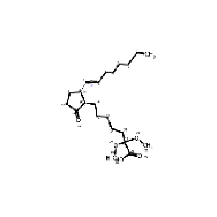 CCCCCC/C=C/[C@H]1CCC(=O)[C@@H]1CCCCCC(OC)(OC)C(=O)O